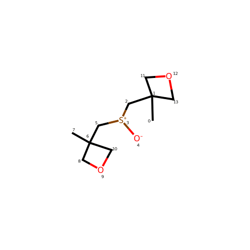 CC1(C[S+]([O-])CC2(C)COC2)COC1